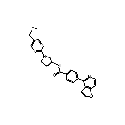 O=C(NC1CCN(c2ncc(CO)cn2)C1)c1ccc(-c2nccc3occc23)cc1